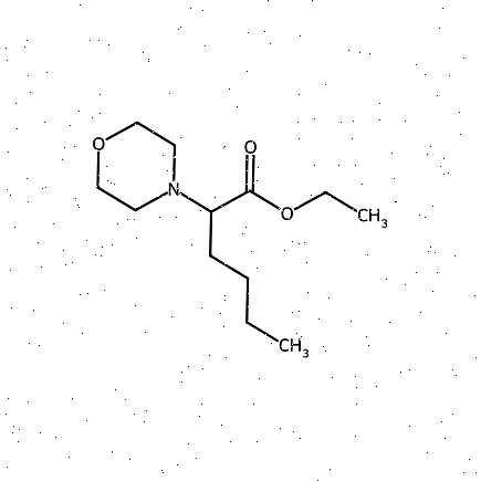 CCCCC(C(=O)OCC)N1CCOCC1